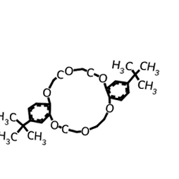 CC(C)(C)c1ccc2c(c1)OCCOCCOc1ccc(C(C)(C)C)cc1OCCOCCO2